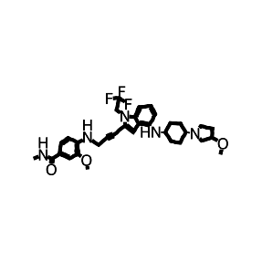 CNC(=O)c1ccc(NCC#Cc2cc3c(N[C@H]4CC[C@@H](N5CCC(OC)C5)CC4)cccc3n2CC(F)(F)F)c(OC)c1